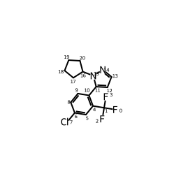 FC(F)(F)c1cc(Cl)ccc1-c1ccnn1C1CCCC1